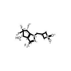 O=S1(=O)CC(Cn2nc(C(F)(F)F)c3c2[C@@H](F)C(F)(F)[C@H]3O)C1